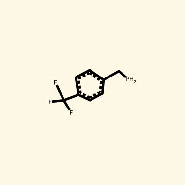 FC(F)(F)c1ccc(CP)cc1